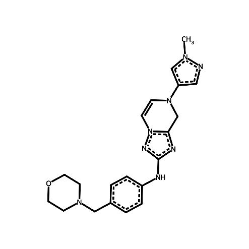 Cn1cc(N2C=Cn3nc(Nc4ccc(CN5CCOCC5)cc4)nc3C2)cn1